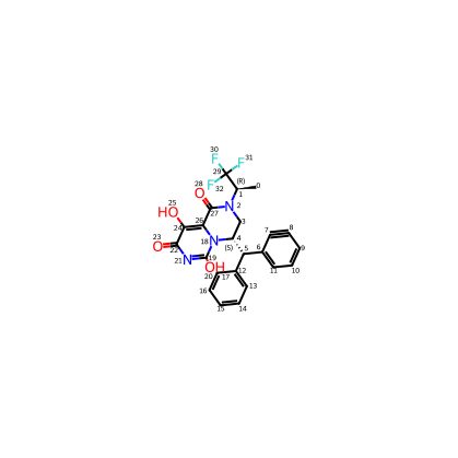 C[C@@H](N1C[C@H](C(c2c#cccc2)c2ccccc2)n2c(O)nc(=O)c(O)c2C1=O)C(F)(F)F